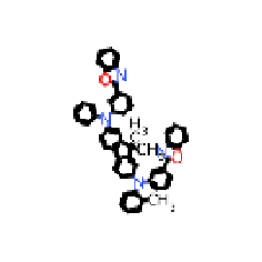 CC1C=CC=CC1N(c1cccc(-c2nc3c(o2)CCC=C3)c1)C1C=C2C(=CC1)c1ccc(N(c3ccccc3)C3C=C(c4nc5ccccc5o4)C=CC3)cc1C2(C)C